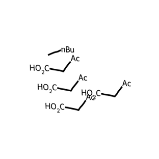 CC(=O)CC(=O)O.CC(=O)CC(=O)O.CC(=O)CC(=O)O.CC(=O)CC(=O)O.CCCCC